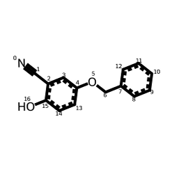 N#Cc1cc(OCc2ccccc2)ccc1O